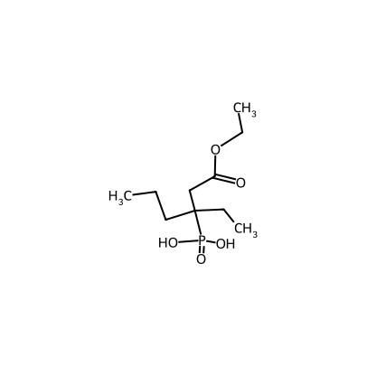 CCCC(CC)(CC(=O)OCC)P(=O)(O)O